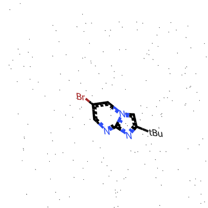 CC(C)(C)c1cn2cc(Br)cnc2n1